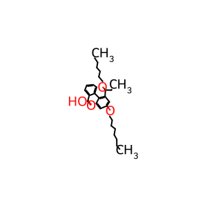 CCCCCCCCOc1ccc(-c2ccccc2C(=O)O)c(C(CC)OCCCCCCC)c1